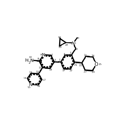 CN(Cc1cc(-c2cnc(N)c(-c3ccncc3)c2)ccc1C1CCOCC1)C1CC1